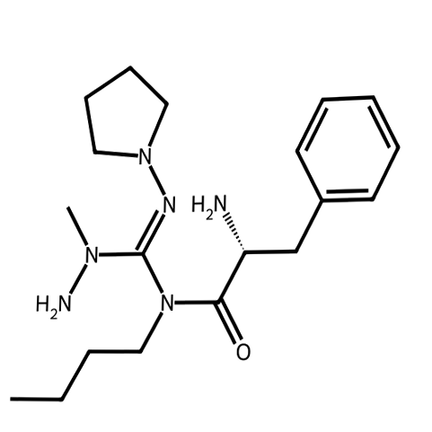 CCCCN(C(=O)[C@H](N)Cc1ccccc1)C(=NN1CCCC1)N(C)N